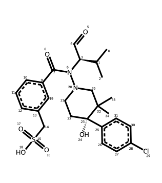 CC(C)[C@H](C=O)N(C(=O)c1cccc(CS(=O)(=O)O)c1)N1CC[C@](O)(c2ccc(Cl)cc2)C(C)(C)C1